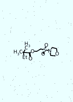 CCC(C)(C)C(=O)OCCS(=O)(=O)N1CCOCC1